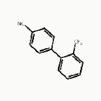 N#Cc1ccc(-c2ccccc2C(F)(F)F)cc1